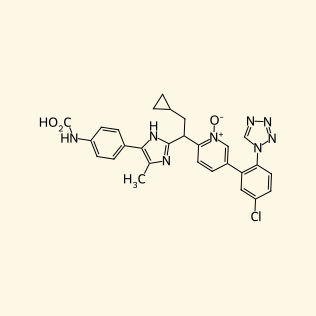 Cc1nc(C(CC2CC2)c2ccc(-c3cc(Cl)ccc3-n3cnnn3)c[n+]2[O-])[nH]c1-c1ccc(NC(=O)O)cc1